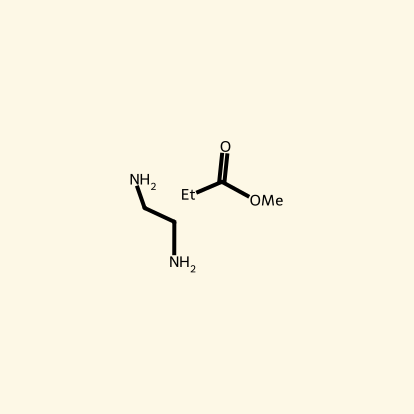 CCC(=O)OC.NCCN